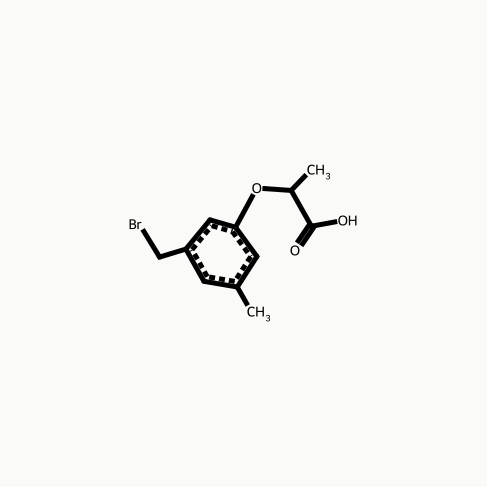 Cc1cc(CBr)cc(OC(C)C(=O)O)c1